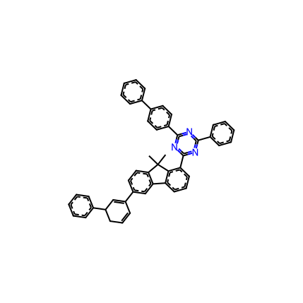 CC1(C)c2ccc(C3=CC(c4ccccc4)CC=C3)cc2-c2cccc(-c3nc(-c4ccccc4)nc(-c4ccc(-c5ccccc5)cc4)n3)c21